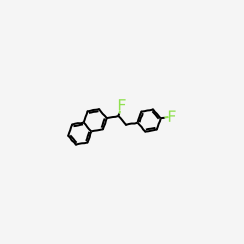 Fc1ccc(CC(F)c2ccc3ccccc3c2)cc1